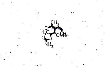 C/C=C\C(=C(/C)Cl)[C@H](OC)[C@@H](C)OC(N)=O